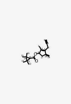 C#CCC1=C(C)C(OC(=O)C2C(C)(C)C2(C)C)CC1=C